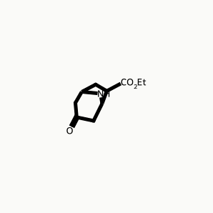 CCOC(=O)C1CC2CC(=O)CC1N2